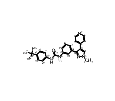 Cn1cc(-c2ccncc2)c(-c2cccc(NC(=O)Nc3ccc(C(F)(F)F)cc3)c2)n1